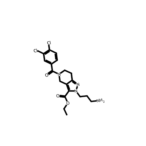 CCOC(=O)c1c2c(nn1CCCN)CCN(C(=O)c1ccc(Cl)c(Cl)c1)C2